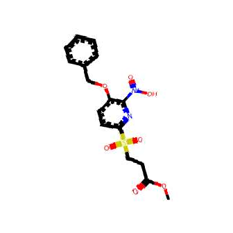 COC(=O)CCS(=O)(=O)c1ccc(OCc2ccccc2)c([N+](=O)O)n1